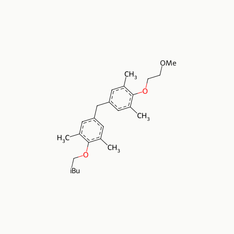 CCC(C)COc1c(C)cc(Cc2cc(C)c(OCCOC)c(C)c2)cc1C